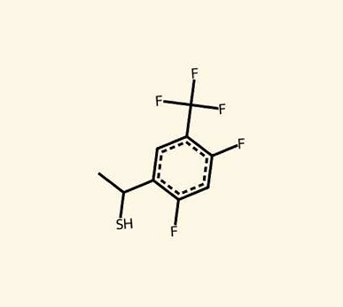 CC(S)c1cc(C(F)(F)F)c(F)cc1F